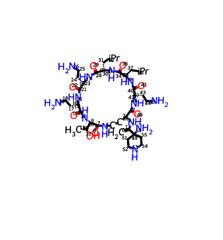 C=C(N[C@H]1CCNC(=O)[C@H]([C@@H](C)O)NC(=O)[C@H](CCN)NC(=O)[C@H](CCN)NC(=O)[C@H](CC(C)C)NC(=O)[C@@H](CC(C)C)NC(=O)[C@H](CCN)NC1=O)C1(N)CCNCC1